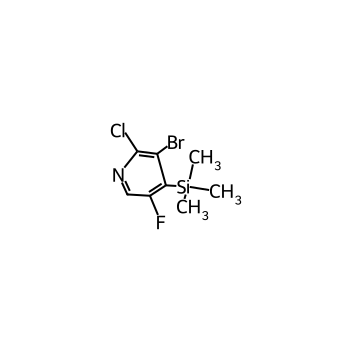 C[Si](C)(C)c1c(F)cnc(Cl)c1Br